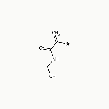 C=C(Br)C(=O)NCO